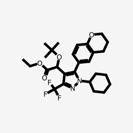 CCOC(=O)C(OC(C)(C)C)c1c(C(F)(F)F)nn(C2CCCCC2)c1-c1ccc2c(c1)CCCO2